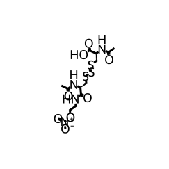 CC(=O)N[C@@H](CSSSC[C@H](NC(C)=O)C(=O)NCCO[N+](=O)[O-])C(=O)O